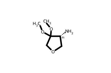 COC1(OC)COC[C@H]1N